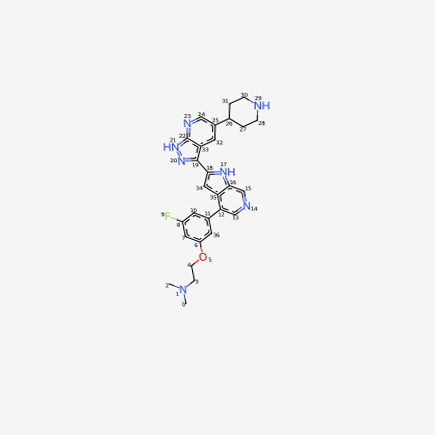 CN(C)CCOc1cc(F)cc(-c2cncc3[nH]c(-c4n[nH]c5ncc(C6CCNCC6)cc45)cc23)c1